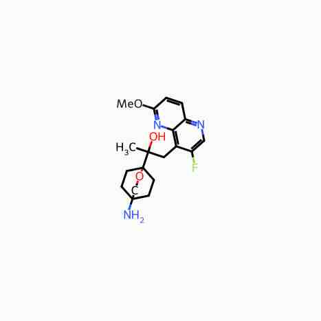 COc1ccc2ncc(F)c(CC(C)(O)C34CCC(N)(CC3)CO4)c2n1